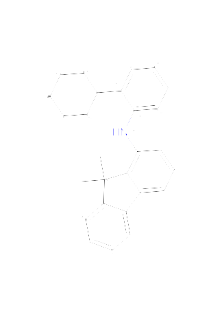 CC1(C)c2ccccc2-c2cccc(Nc3ccccc3C3CCCCC3)c21